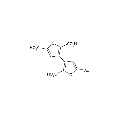 CC(=O)c1cc(-c2cc(C(=O)O)oc2C(=O)O)c(C(=O)O)o1